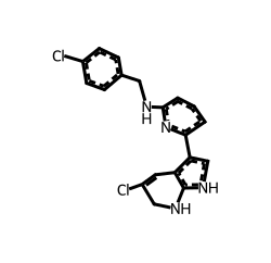 ClC1=Cc2c(-c3cccc(NCc4ccc(Cl)cc4)n3)c[nH]c2NC1